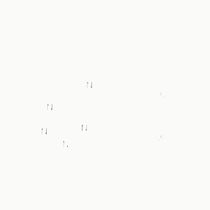 CC1=C(C(=O)O)Cn2nnnc2N1C